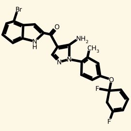 Cc1cc(OC2(F)C=CC=C(F)C2)ccc1-n1ncc(C(=O)c2cc3c(Br)cccc3[nH]2)c1N